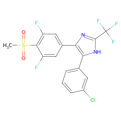 CS(=O)(=O)c1c(F)cc(-c2nc(C(F)(F)F)[nH]c2-c2cccc(Cl)c2)cc1F